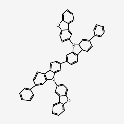 C1=CC2c3ccc(-c4ccc5c6ccc(-c7ccccc7)cc6n(-c6ccc7oc8ccccc8c7c6)c5c4)cc3N(c3ccc4oc5ccccc5c4c3)C2C=C1c1ccccc1